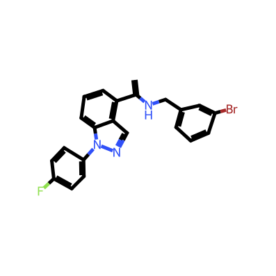 C=C(NCc1cccc(Br)c1)c1cccc2c1cnn2-c1ccc(F)cc1